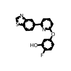 Oc1cc(Oc2cccc(-c3ccc4scnc4c3)n2)ccc1F